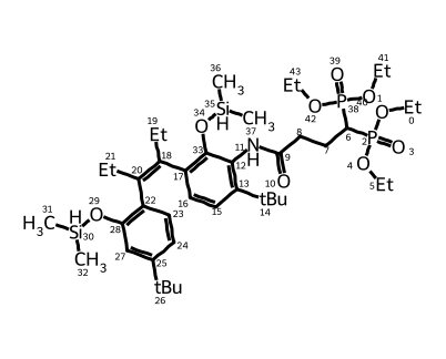 CCOP(=O)(OCC)C(CCC(=O)Nc1c(C(C)(C)C)ccc(C(CC)=C(CC)c2ccc(C(C)(C)C)cc2O[SiH](C)C)c1O[SiH](C)C)P(=O)(OCC)OCC